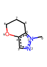 Cn1ncc2c1CCCO2